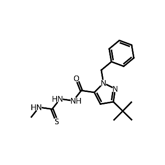 CNC(=S)NNC(=O)c1cc(C(C)(C)C)nn1Cc1ccccc1